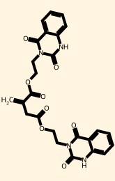 C=C(CC(=O)OCCn1c(=O)[nH]c2ccccc2c1=O)C(=O)OCCn1c(=O)[nH]c2ccccc2c1=O